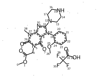 COC(=O)Cn1c(=O)c2c(nc(N3CCNCC3)n2-c2ccccc2OC)n(C)c1=O.O=C(O)C(F)(F)F